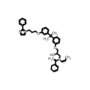 C=C(C1=CC=CCC1)N(/C=C\C)CC(O)COc1cccc(C(C)(C)c2cccc(OCCCn3ccnc3-c3ccccc3)c2)c1